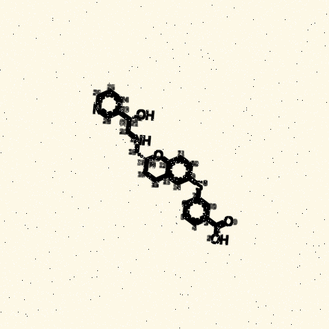 O=C(O)c1cccc(Sc2ccc3c(c2)CC[C@H](CNC[C@@H](O)c2cccnc2)O3)c1